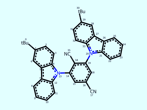 CC(C)(C)c1ccc2c(c1)c1ccccc1n2-c1cc(C#N)cc(-n2c3ccccc3c3cc(C(C)(C)C)ccc32)c1C#N